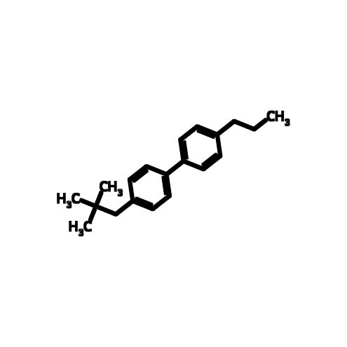 CCCc1ccc(-c2ccc(CC(C)(C)C)cc2)cc1